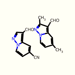 Cc1ccn2nc(C)c(C=O)c2c1.N#Cc1ccn2ncc(C=O)c2c1